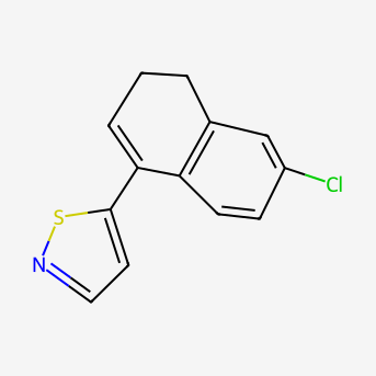 Clc1ccc2c(c1)CCC=C2c1ccns1